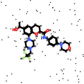 CC(O)c1cc2c(c(N3CCN(CC(F)(F)F)CC3)c1)OC(C(=O)Nc1ccc(N3CCOCC3)cc1)CC2